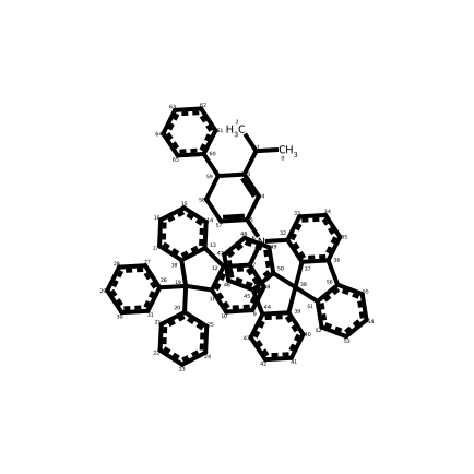 CC(C)C1=CC(N(c2cccc3c2-c2ccccc2C3(c2ccccc2)c2ccccc2)c2cccc3c2C2(c4ccccc4-c4ccccc42)c2ccccc2-3)=CCC1c1ccccc1